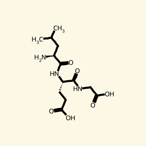 CC(C)C[C@H](N)C(=O)N[C@@H](CCC(=O)O)C(=O)NCC(=O)O